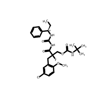 CC[C@@H](NC(=O)NC(=O)C(F)(COC(=O)NC(C)(C)C)Cc1cc(Cl)ccc1OC)c1ccccc1